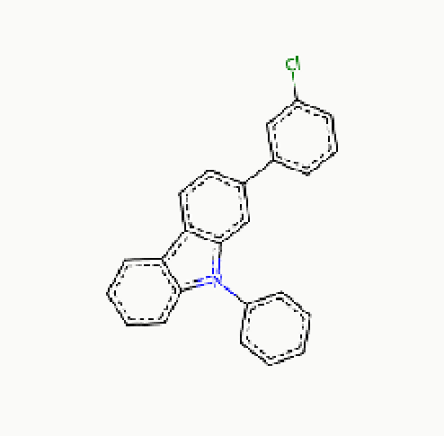 Clc1cccc(-c2ccc3c4ccccc4n(-c4ccccc4)c3c2)c1